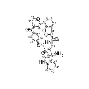 COc1ccccc1CCC(=O)NCC(C(=O)COc1ccc(C(=O)N2CCOCC2)cc1)C(N)c1c[nH]c2ccccc12